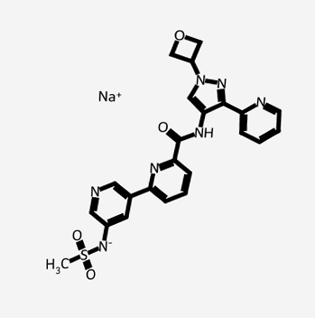 CS(=O)(=O)[N-]c1cncc(-c2cccc(C(=O)Nc3cn(C4COC4)nc3-c3ccccn3)n2)c1.[Na+]